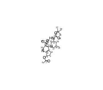 CC(=O)OC1CCc2c1ncc([N+](=O)[O-])c2N1CC(C)CC(NC(=O)OC(C)(C)C)C1